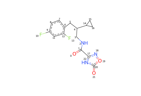 O=C(NCC(Cc1ccc(F)cc1F)C1CC1)c1noc(=O)[nH]1